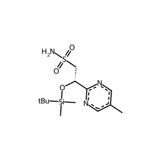 Cc1cnc([C@@H](CS(N)(=O)=O)O[Si](C)(C)C(C)(C)C)nc1